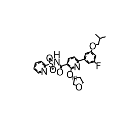 CC(C)COc1cc(F)cc(-c2ccc(C(=O)NS(=O)(=O)c3ccccn3)c(O[C@H]3CCOC3)n2)c1